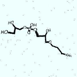 CCCCCCCCCCCCCOCC(O)COP(=O)(O)OCC(O)CO